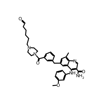 COc1cccc(Nc2c(C(N)=O)cnc3c(C)cc(Cc4cccc(C(=O)N5CCN(CCCCCC=O)CC5)c4)cc23)c1